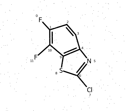 Fc1ccc2nc(Cl)sc2c1F